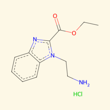 CCOC(=O)c1nc2ccccc2n1CCN.Cl